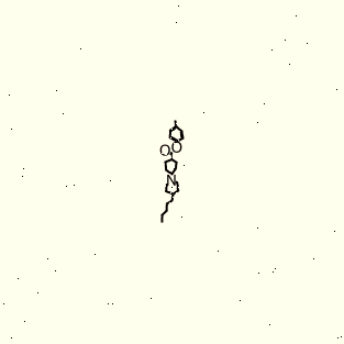 CCCCCC1CCN([C@H]2CC[C@H](C(=O)Oc3ccc(C)cc3)CC2)CC1